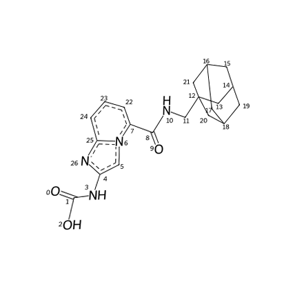 O=C(O)Nc1cn2c(C(=O)NCC34CC5CC(CC(C5)C3)C4)cccc2n1